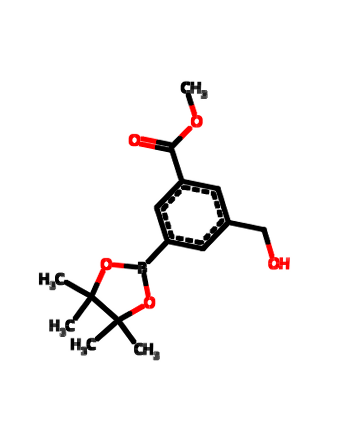 COC(=O)c1cc(CO)cc(B2OC(C)(C)C(C)(C)O2)c1